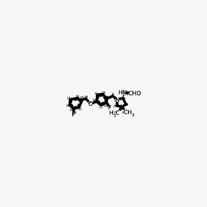 CC1(C)C[C@@H](NC=O)N(Cc2ccc(OCc3cccc(F)c3)cc2F)C1